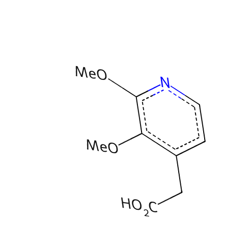 COc1nccc(CC(=O)O)c1OC